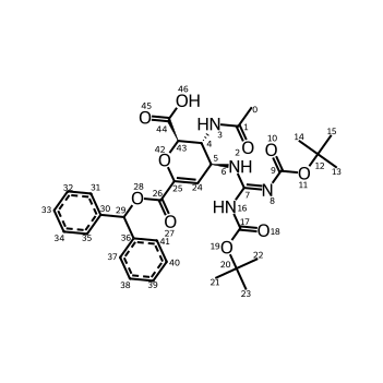 CC(=O)N[C@@H]1[C@@H](N/C(=N\C(=O)OC(C)(C)C)NC(=O)OC(C)(C)C)C=C(C(=O)OC(c2ccccc2)c2ccccc2)O[C@H]1C(=O)O